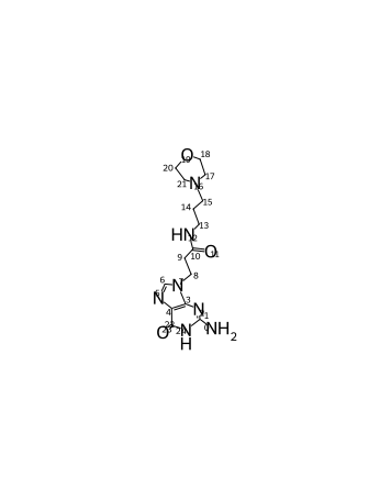 Nc1nc2c(ncn2CCC(=O)NCCCN2CCOCC2)c(=O)[nH]1